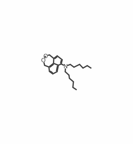 CCCCCCN(CCCCCC)c1ccc2c3c(cccc13)COOC2